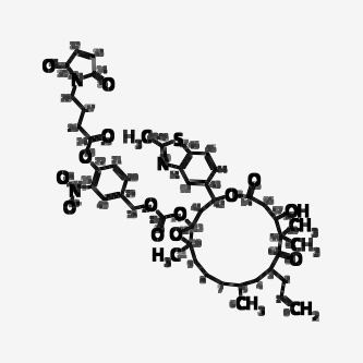 C=CCC1CC(C)CCCC2(C)OC2(OC(=O)OCc2ccc(OC(=O)CCCN3C(=O)C=CC3=O)c([N+](=O)[O-])c2)CC(c2ccc3sc(C)nc3c2)OC(=O)CC(O)C(C)(C)C1=O